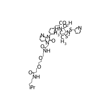 CC(C)CCCNC(=O)CCOCCOCCNC(=O)Cn1c(=O)n(-c2ccc(C[C@H](NC(=O)C3N(Sc4cccnc4)CSC3(C)C)C(=O)O)cc2)c2ncccc21